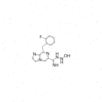 N=C(NNO)c1cn2ccnc2c(Cc2ccccc2F)n1